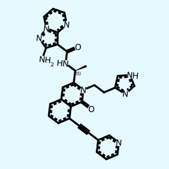 C[C@H](NC(=O)c1c(N)nn2cccnc12)c1cc2cccc(C#Cc3cccnc3)c2c(=O)n1CCc1c[nH]cn1